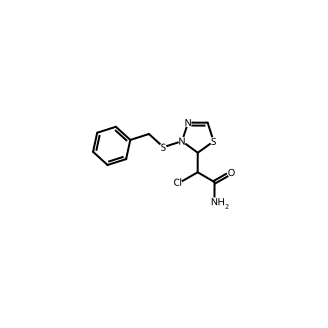 NC(=O)C(Cl)C1SC=NN1SCc1ccccc1